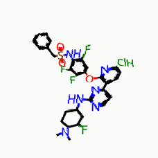 CN(C)C1CCC(Nc2nccc(-c3cccnc3Oc3cc(F)c(NS(=O)(=O)Cc4ccccc4)c(F)c3F)n2)CC1F.Cl